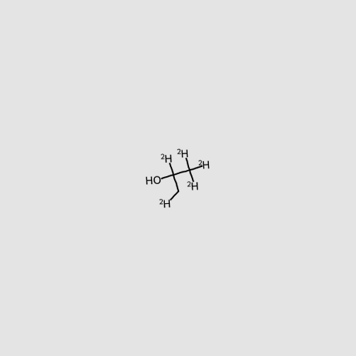 [2H]CC([2H])(O)C([2H])([2H])[2H]